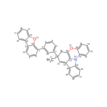 CC1(c2cccc(-c3cccc4c3oc3ccccc34)c2)C=c2c3n(c4ccccc24)-c2ccccc2OC=3C1